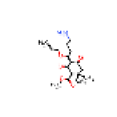 C=CCOC(CCCN)=C1C(=O)CC(C)(C)C(C(=O)OC)C1=O